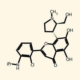 CC(C)Nc1cccc(-c2cc(=O)c3c(O)cc(O)c([C@@H]4CCN(C)[C@H]4CO)c3o2)c1Cl